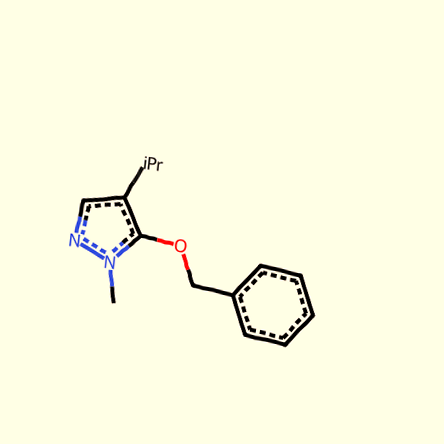 CC(C)c1cnn(C)c1OCc1ccccc1